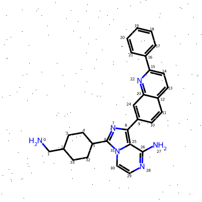 NCC1CCC(c2nc(-c3ccc4ccc(-c5ccccc5)nc4c3)c3c(N)nccn23)CC1